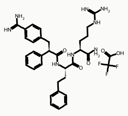 N=C(N)NCCC[C@H](NC(=O)[C@H](CCc1ccccc1)NC(=O)[C@H](Cc1ccc(C(=N)N)cc1)c1ccccc1)C(N)=O.O=C(O)C(F)(F)F